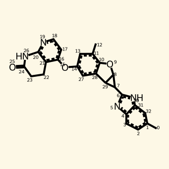 Cc1ccc2nc(C3C4Oc5c(C)cc(Oc6ccnc7c6CCC(=O)N7)cc5C43)[nH]c2c1